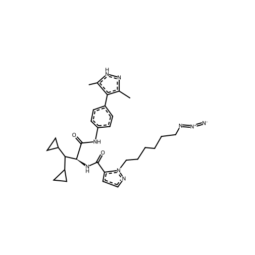 Cc1n[nH]c(C)c1-c1ccc(NC(=O)[C@@H](NC(=O)c2ccnn2CCCCCCN=[N+]=[N-])C(C2CC2)C2CC2)cc1